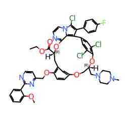 CCOC(=O)[C@H]1Cc2cc(ccc2OCc2ccnc(-c3ccccc3OC)n2)OC[C@@H](CN2CCN(C)CC2)Oc2c(Cl)cc(cc2Cl)-c2c(-c3ccc(F)cc3)c(Cl)n3ccnc(c23)O1